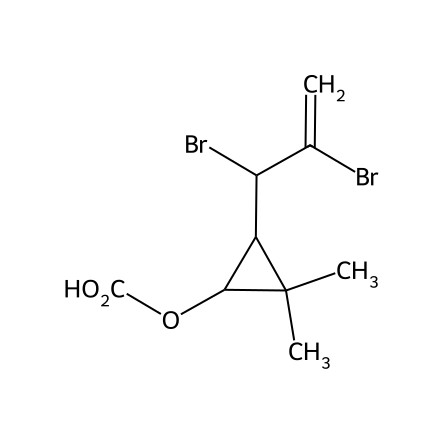 C=C(Br)C(Br)C1C(OC(=O)O)C1(C)C